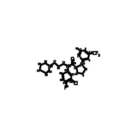 Cc1cc(C(F)(F)F)cc(N2CCC[C@H]2C(=O)N(CCCN2CCCCC2)c2ccc(F)c(Cl)c2)n1